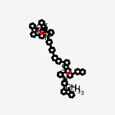 CC1(C)c2ccccc2-c2cccc(-c3ccc(N(c4ccc(-c5ccc(-c6ccc7ccc(-c8cccc9c8sc8c(-c%10ccccc%10N(c%10ccc(-c%11ccc%12ccccc%12c%11)cc%10)c%10ccc(-c%11cccc%12c%11C(C)(C)c%11ccccc%11-%12)cc%10)cccc89)cc7c6)cc5)cc4)c4ccccc4-c4cccc5c4sc4ccccc45)cc3)c21